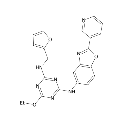 CCOc1nc(NCc2ccco2)nc(Nc2ccc3oc(-c4cccnc4)nc3c2)n1